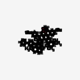 Cc1cc(C(C)(C)C)ccc1N1c2cc(N3c4ccc(-c5ccccn5)cc4C4(C)CCc5ccccc5C34C)ccc2B2c3cc4c(cc3N(c3ccc(C(C)(C)C)cc3-c3ccccc3)c3cc(C(C)(C)C)cc1c32)C(C)(C)CCC4(C)C